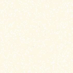 C[S+]1C(C)(C)C(C)(C)C(C)(C)C(C)(C)C1(C)C